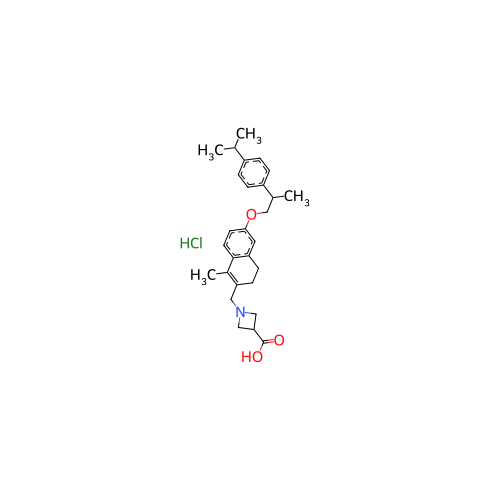 CC1=C(CN2CC(C(=O)O)C2)CCc2cc(OCC(C)c3ccc(C(C)C)cc3)ccc21.Cl